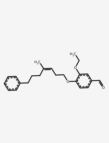 CCOc1cc(C=O)ccc1OCCC=C(C)CCCc1ccccc1